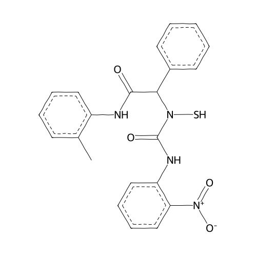 Cc1ccccc1NC(=O)C(c1ccccc1)N(S)C(=O)Nc1ccccc1[N+](=O)[O-]